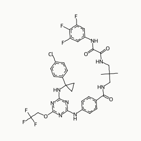 CC(C)(CNC(=O)C(=O)Nc1cc(F)c(F)c(F)c1)CNC(=O)c1ccc(Nc2nc(NC3(c4ccc(Cl)cc4)CC3)nc(OCC(F)(F)F)n2)cc1